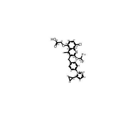 Cc1c(Cc2ccc(-n3nccc3C3CC3)cc2)c(OC(F)F)nc2c(Cl)ccc(OCC(=O)O)c12